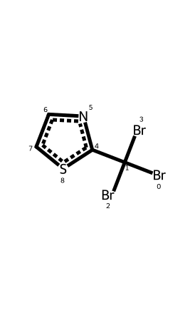 BrC(Br)(Br)c1nccs1